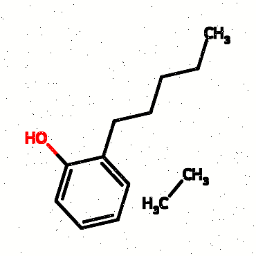 CC.CCCCCc1ccccc1O